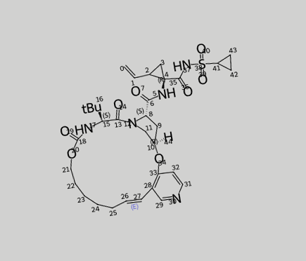 C=CC1C[C@]1(NC(=O)[C@@H]1C[C@@H]2CN1C(=O)[C@H](C(C)(C)C)NC(=O)OCCCCC/C=C/c1cnccc1O2)C(=O)NS(=O)(=O)C1CC1